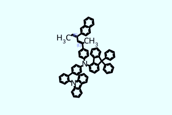 C/C=C(\C=C(/C)c1ccc(N(c2ccc(-c3ccccc3-n3c4ccccc4c4ccccc43)cc2)c2cccc3c2-c2ccccc2C3(c2ccccc2)c2ccccc2)cc1)c1ccc2ccccc2c1